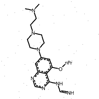 CCCOc1cc(N2CCN(CCN(C)C)CC2)cc2ncnc(NC=N)c12